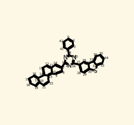 c1ccc(-c2nc(-c3ccc4c(ccc5c6ccccc6ccc45)c3)nc(-c3ccc4sc5ccccc5c4c3)n2)cc1